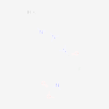 Cc1ccc(N2CCN(C(=O)c3ccc(N4CCOC4=O)cc3F)CC2)nc1